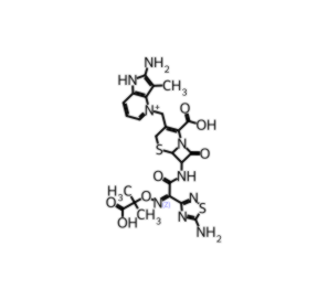 Cc1c(N)[nH]c2ccc[n+](CC3=C(C(=O)O)N4C(=O)C(NC(=O)/C(=N\OC(C)(C)C(=O)O)c5nsc(N)n5)C4SC3)c12